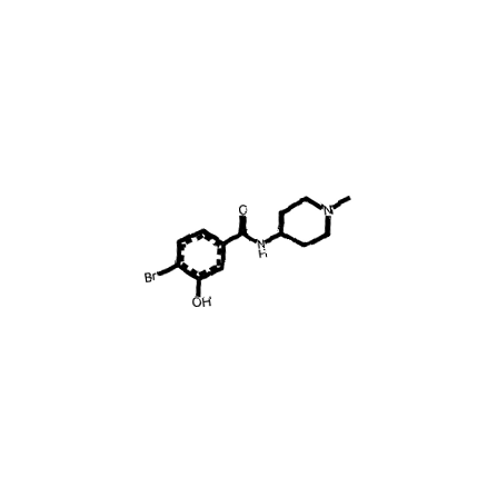 CN1CCC(NC(=O)c2ccc(Br)c(O)c2)CC1